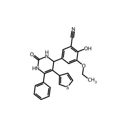 CCOc1cc(C2NC(=O)NC(c3ccccc3)=C2c2ccsc2)cc(C#N)c1O